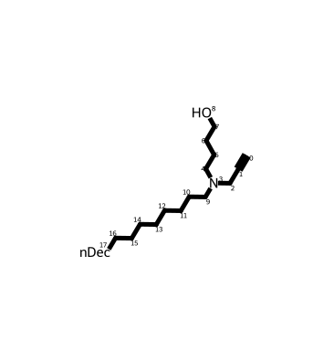 C#CCN(CCCCO)CCCCCCCCCCCCCCCCCC